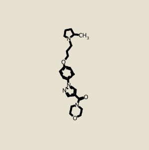 CC1CCCN1CCCOc1ccc(-n2cc(C(=O)N3CCOCC3)cn2)cc1